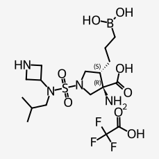 CC(C)CN(C1CNC1)S(=O)(=O)N1C[C@H](CCCB(O)O)[C@](N)(C(=O)O)C1.O=C(O)C(F)(F)F